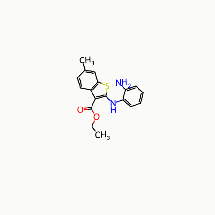 CCOC(=O)c1c(Nc2ccccc2N)sc2cc(C)ccc12